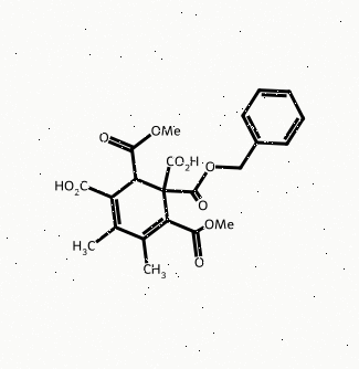 COC(=O)C1=C(C)C(C)=C(C(=O)O)C(C(=O)OC)C1(C(=O)O)C(=O)OCc1ccccc1